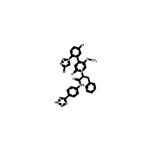 COc1cn(C(Cc2ccccc2)C(=O)Nc2ccc(-c3nn[nH]n3)cc2)c(=O)cc1-c1cc(Cl)ccc1-n1cc(Cl)nn1